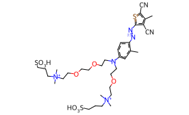 Cc1cc(N(CCOCCOCC[N+](C)(C)CCCS(=O)(=O)O)CCOCC[N+](C)(C)CCCS(=O)(=O)O)ccc1/N=N/c1sc(C#N)c(C)c1C#N